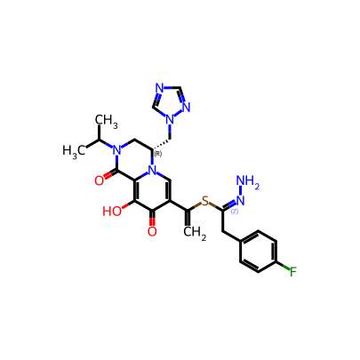 C=C(S/C(Cc1ccc(F)cc1)=N\N)c1cn2c(c(O)c1=O)C(=O)N(C(C)C)C[C@@H]2Cn1cncn1